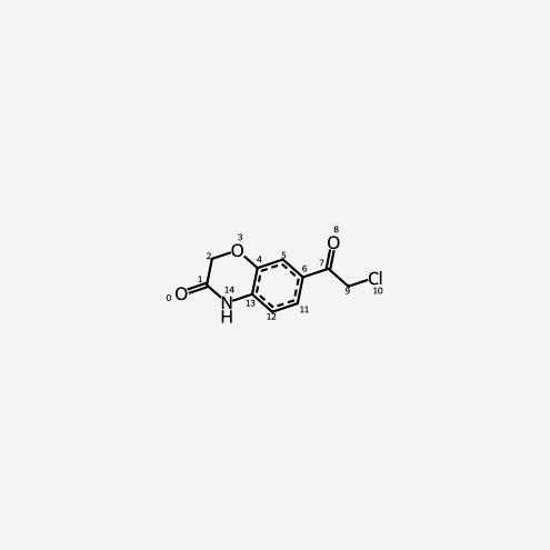 O=C1COc2cc(C(=O)CCl)ccc2N1